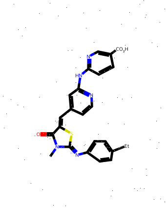 CCc1ccc(/N=C2\S/C(=C\c3ccnc(Nc4ccc(C(=O)O)cn4)c3)C(=O)N2C)cc1